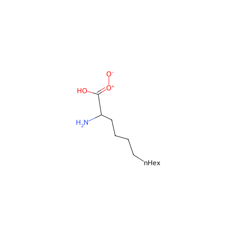 CCCCCCCCCCC(N)C(O)=[O+][O-]